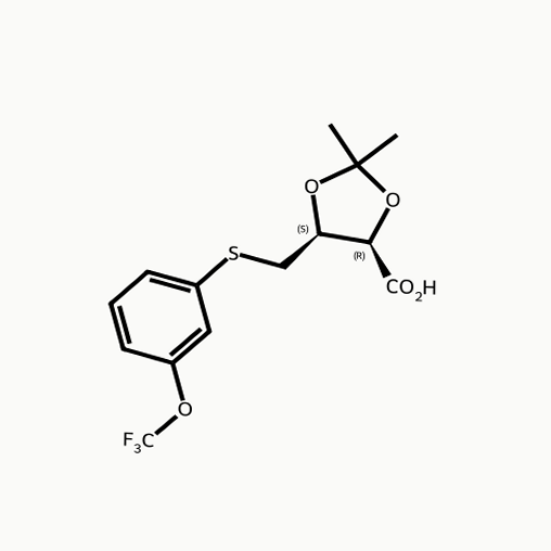 CC1(C)O[C@H](CSc2cccc(OC(F)(F)F)c2)[C@H](C(=O)O)O1